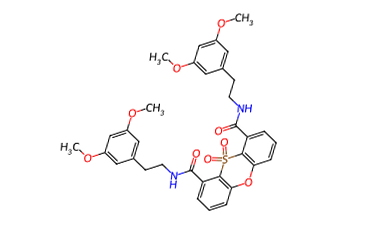 COc1cc(CCNC(=O)c2cccc3c2S(=O)(=O)c2c(cccc2C(=O)NCCc2cc(OC)cc(OC)c2)O3)cc(OC)c1